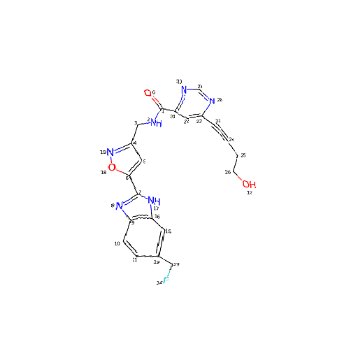 O=C(NCc1cc(-c2nc3ccc(CF)cc3[nH]2)on1)c1cc(C#CCCO)ncn1